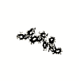 c1cc(-n2c3cnccc3n3c4cc(-n5c6cnccc6n6c7ccncc7cc56)ccc4cc23)cc(-n2c3ccccc3n3c4ccccc4nc23)c1